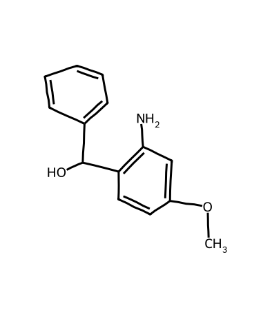 COc1ccc(C(O)c2ccccc2)c(N)c1